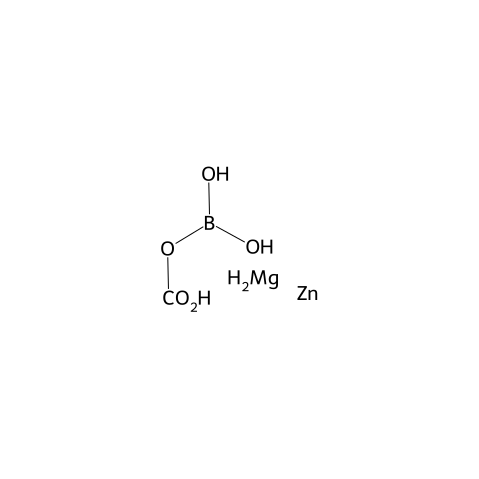 O=C(O)OB(O)O.[MgH2].[Zn]